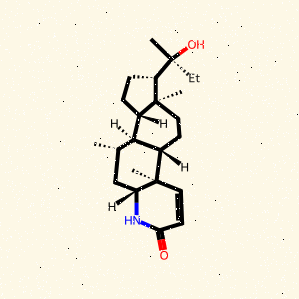 CC[C@](C)(O)[C@H]1CC[C@H]2[C@@H]3[C@@H](C)C[C@H]4NC(=O)C=C[C@]4(C)[C@H]3CC[C@@]21C